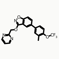 Cc1cc(-c2ccc3onc(OCc4ncccn4)c3c2)ccc1OC(F)(F)F